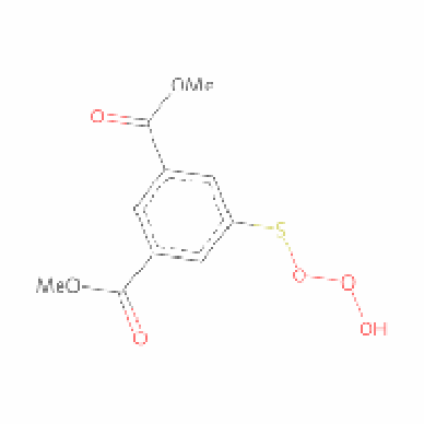 COC(=O)c1cc(SOOO)cc(C(=O)OC)c1